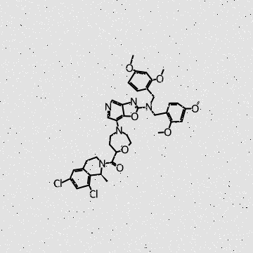 COc1ccc(CN(Cc2ccc(OC)cc2OC)c2nc3cncc(N4CCOC(C(=O)N5CCc6cc(Cl)cc(Cl)c6[C@@H]5C)CC4)c3o2)c(OC)c1